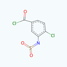 O=C(Cl)c1ccc(Cl)c(N=S(=O)=O)c1